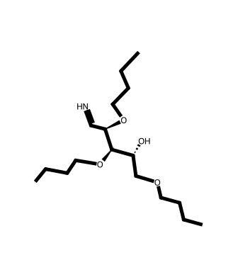 CCCCOC[C@@H](O)[C@@H](OCCCC)[C@@H](C=N)OCCCC